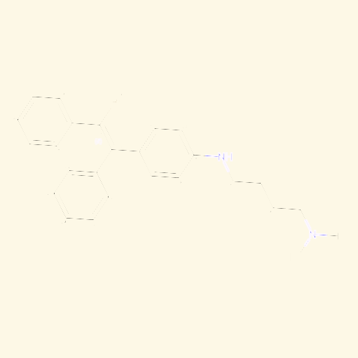 CCN(CC)CCCCNc1ccc(/C(=C(\Br)c2ccccc2)c2ccccc2)cc1